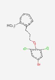 O=C(O)c1ccccc1CCCOc1c(Cl)cc(O)cc1Cl